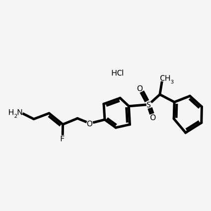 CC(c1ccccc1)S(=O)(=O)c1ccc(OC/C(F)=C/CN)cc1.Cl